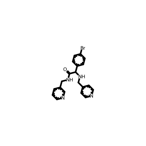 O=C(NCc1cccnc1)C(NCc1ccncc1)c1ccc(Br)cc1